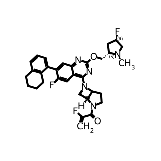 C=C(F)C(=O)N1CCC2[C@H]1CN2c1nc(OC[C@@H]2C[C@@H](F)CN2C)nc2cc(-c3cccc4c3CCCC4)c(F)cc12